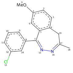 COc1ccc2c(c1)C(c1cccc(Cl)c1)=NN=C(C)C2